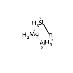 [AlH3].[MgH2].[SiH3][Ti]